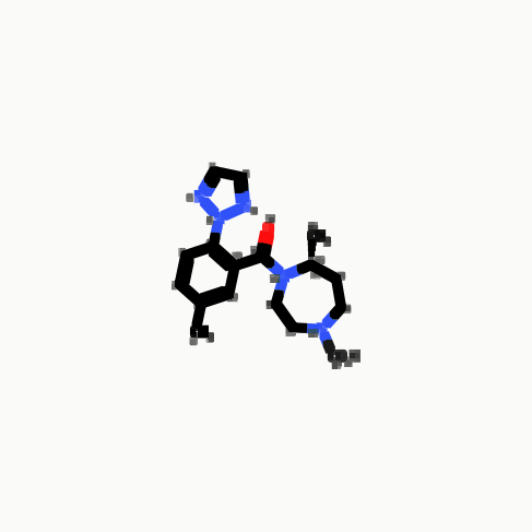 Cc1ccc(-n2nccn2)c(C(=O)N2CCN(C(=O)O)CC[C@H]2C)c1